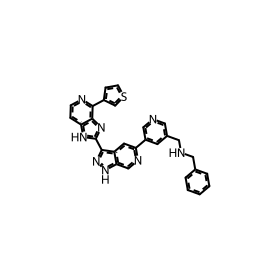 c1ccc(CNCc2cncc(-c3cc4c(-c5nc6c(-c7ccsc7)nccc6[nH]5)n[nH]c4cn3)c2)cc1